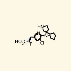 O=C(O)/C(F)=C/c1cnc(N[C@@]2(C3CCCC3)CCNC2)c(Cl)c1